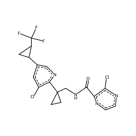 O=C(NCC1(c2ncc(C3CC3C(F)(F)F)cc2Cl)CC1)c1nccnc1Cl